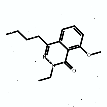 CCCCc1nn(CC)c(=O)c2c(OC)cccc12